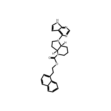 O=C(OCCc1cccc2ccccc12)N1CCC[C@@H]2[C@H]1CCN2c1ncnc2[nH]ccc12